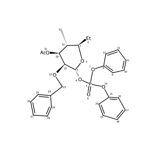 CC[C@H]1O[C@H](OP(=O)(Oc2ccccc2)Oc2ccccc2)[C@@H](OCc2ccccc2)[C@@H](OC(C)=O)[C@@H]1C